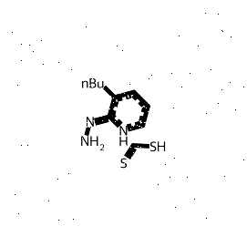 CCCCc1ccc[nH]c1=NN.S=CS